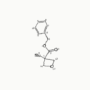 CC(C)(C)C1(C(=O)OCc2ccccc2)COC1